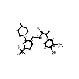 CC1CCN(c2nc(C(F)(F)F)ccc2CNC(=O)C(C)c2ccc(O)c(N)c2)CC1